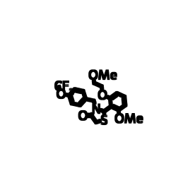 COCCOc1cccc(OC)c1C1SCC(=O)N1Cc1ccc(OC(F)(F)F)cc1